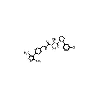 Cc1noc(C)c1-c1ccc(CNC(=O)[C@H](O)[C@@H](O)C(=O)N2CCCC2c2cccc(Cl)c2)cn1